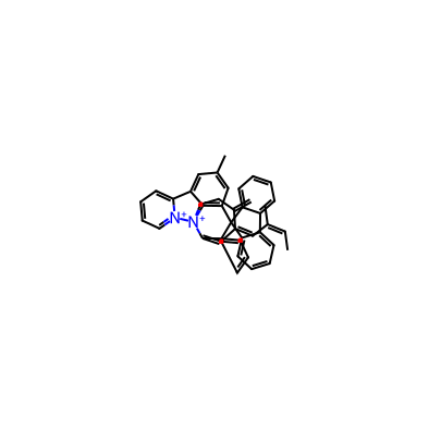 C=C1CC[N+]23c4c(cccc4C4(c5ccccc5-c5ccccc54)c4cc(C)cc(c42)-c2cccc[n+]23)/C1=C/C(C)=C\C